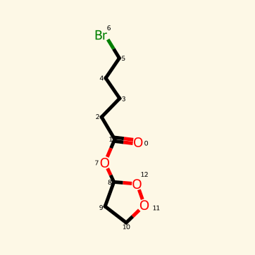 O=C(CCCCBr)OC1CCOO1